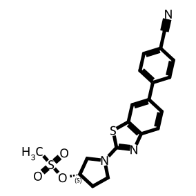 CS(=O)(=O)O[C@H]1CCN(c2nc3ccc(-c4ccc(C#N)cc4)cc3s2)C1